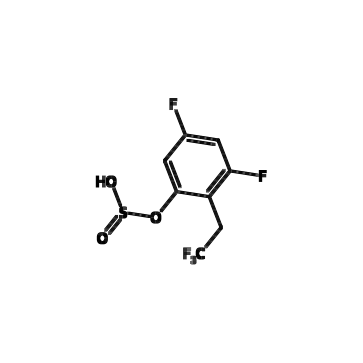 O=S(O)Oc1cc(F)cc(F)c1CC(F)(F)F